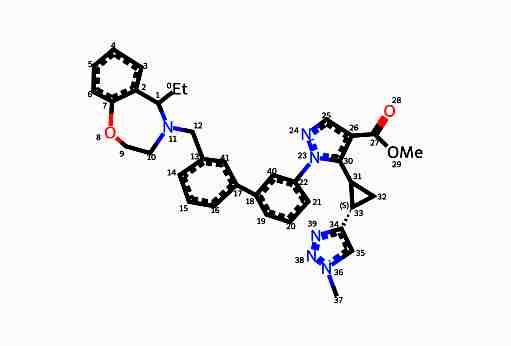 CCC1c2ccccc2OCCN1Cc1cccc(-c2cccc(-n3ncc(C(=O)OC)c3C3C[C@@H]3c3cn(C)nn3)c2)c1